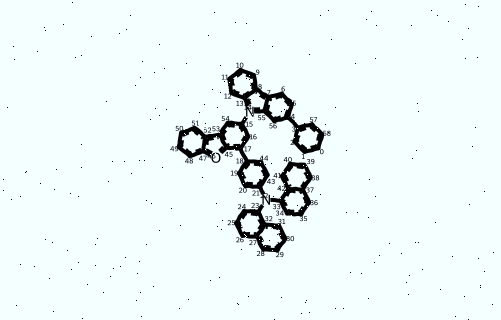 c1ccc(-c2ccc3c4ccccc4n(-c4cc(-c5ccc(N(c6cccc7ccccc67)c6cccc7ccccc67)cc5)c5oc6ccccc6c5c4)c3c2)cc1